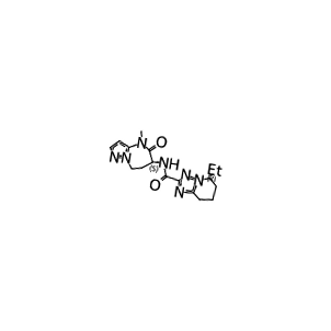 CC[C@@H]1CCCc2nc(C(=O)N[C@H]3CCn4nccc4N(C)C3=O)nn21